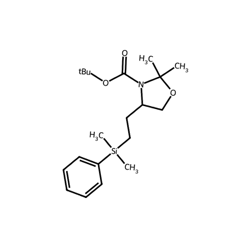 CC(C)(C)OC(=O)N1C(CC[Si](C)(C)c2ccccc2)COC1(C)C